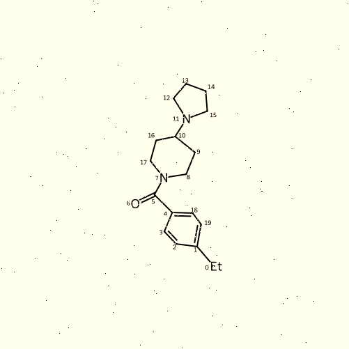 CCc1ccc(C(=O)N2CCC(N3CCCC3)CC2)cc1